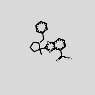 CC1(c2nc3c(C(N)=O)cccc3o2)CCCN1Cc1ccccc1